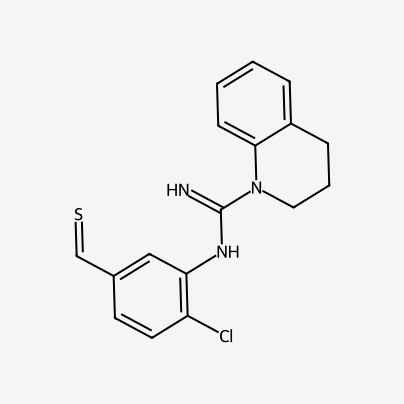 N=C(Nc1cc(C=S)ccc1Cl)N1CCCc2ccccc21